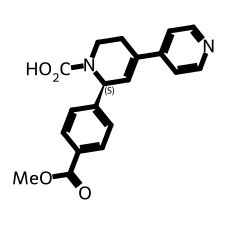 COC(=O)c1ccc([C@@H]2C=C(c3ccncc3)CCN2C(=O)O)cc1